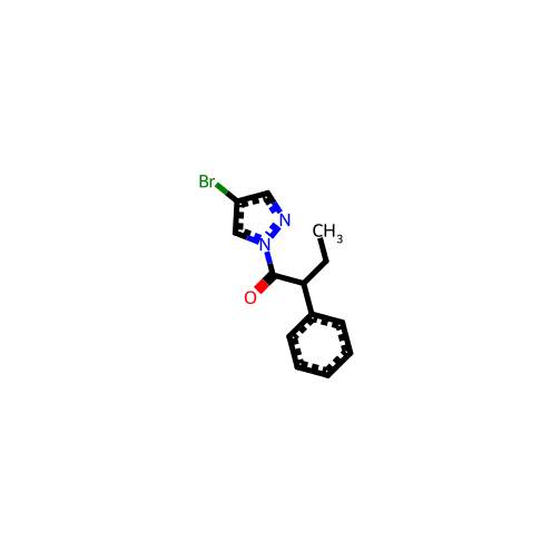 CCC(C(=O)n1cc(Br)cn1)c1ccccc1